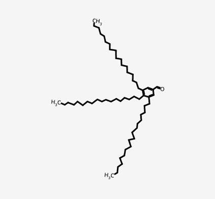 CCCCCCCCCCCCCCCCCCc1cc(C=O)cc(CCCCCCCCCCCCCCCCCC)c1CCCCCCCCCCCCCCCCCC